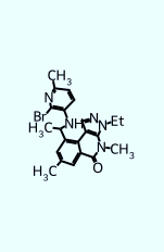 CCn1ncc2c3c(C(C)Nc4ccc(C)nc4Br)cc(C)cc3c(=O)n(C)c21